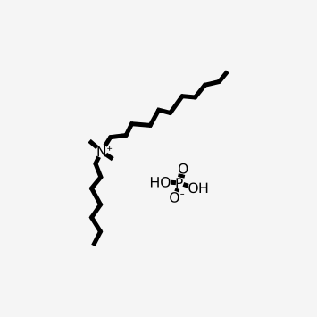 CCCCCCCCCCC[N+](C)(C)CCCCCCC.O=P([O-])(O)O